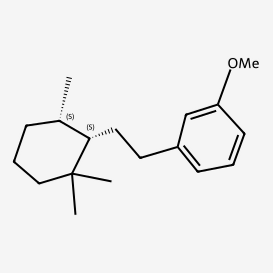 COc1cccc(CC[C@H]2[C@@H](C)CCCC2(C)C)c1